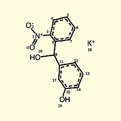 O=[N+]([O-])c1ccccc1C(O)c1cccc(O)c1.[K+]